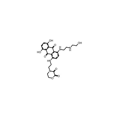 O=C1OCCN(CCNc2ccc(NCCNCCO)c3c2C(=O)c2c(O)ccc(O)c2C3=O)C1=O